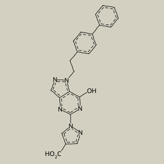 O=C(O)c1cnn(-c2nc(O)c3c(cnn3CCc3ccc(-c4ccccc4)cc3)n2)c1